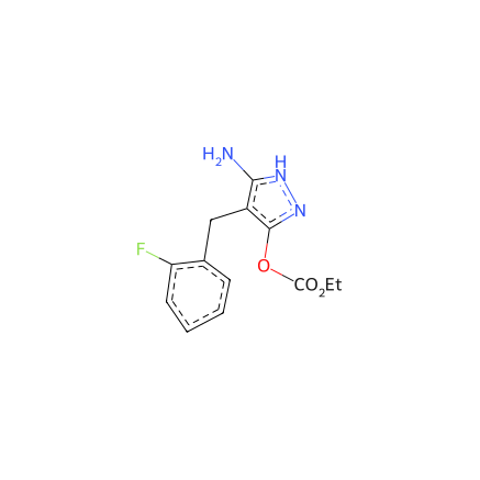 CCOC(=O)Oc1n[nH]c(N)c1Cc1ccccc1F